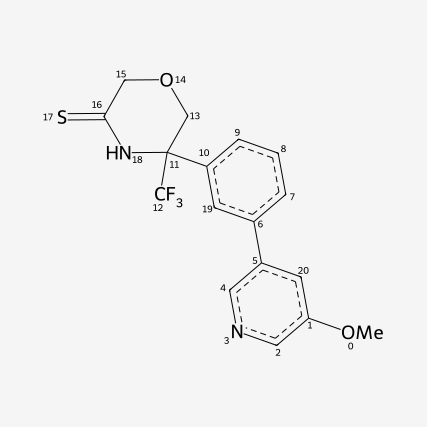 COc1cncc(-c2cccc(C3(C(F)(F)F)COCC(=S)N3)c2)c1